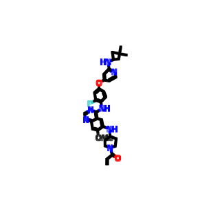 C=CC(=O)N1CCC(Nc2cc3c(Nc4ccc(Oc5ccnc(NC6CC(C)(C)C6)c5)cc4F)ncnc3cc2OC)CC1